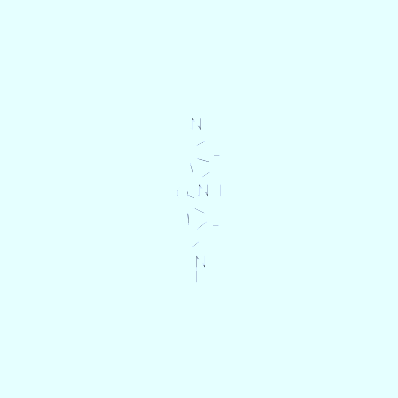 CN1CC=C(c2ccc(NC(=O)c3ccc(C4=CCNCC4)c(F)c3)cc2F)CC1